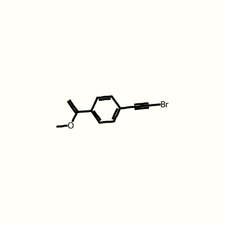 C=C(OC)c1ccc(C#CBr)cc1